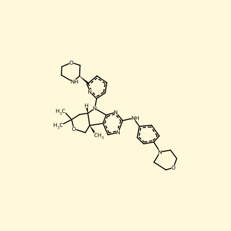 CC1(C)C[C@@H]2N(c3cccc([C@@H]4COCCN4)n3)c3nc(Nc4ccc(N5CCOCC5)cc4)ncc3[C@]2(C)CO1